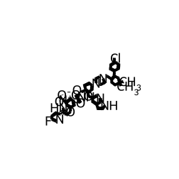 CC1(C)CCC(CN2CCN(c3ccc(C(=O)NS(=O)(=O)c4cc5c(c([N+](=O)[O-])c4)N[C@H](c4ccc(F)cn4)CO5)c(Oc4cnc5[nH]ccc5c4)c3)CC2)=C(c2ccc(Cl)cc2)C1